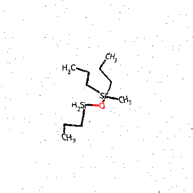 CCC[SiH2]O[Si](C)(CCC)CCC